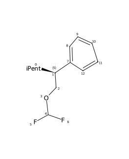 CCCC(C)[C@H](COC(F)F)c1ccccc1